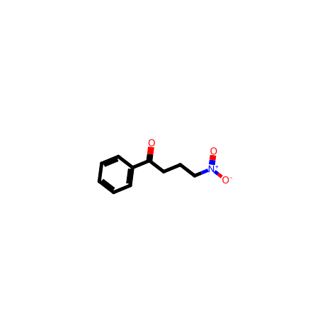 O=C(CCC[N+](=O)[O-])c1ccccc1